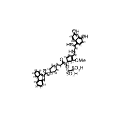 COc1cc(N(Cl)C(=O)CCN2CCC(OC(=O)Nc3ccccc3-c3ccccc3)CC2)ccc1CNCC(O)c1ccc(O)c2[nH]c(=O)ccc12.O=S(=O)(O)CCS(=O)(=O)O